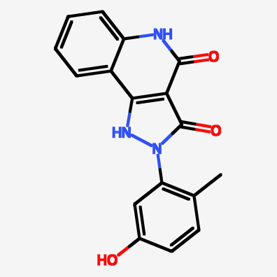 Cc1ccc(O)cc1-n1[nH]c2c(c(=O)[nH]c3ccccc32)c1=O